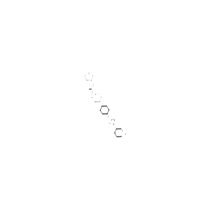 O=C(CC1CCCC1)N1CCC(c2ccc(N3CC(c4cccnc4)C3)cc2)CC1